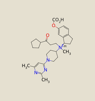 Cc1cc(N2CCC([N+](C)(CCC(=O)C3CCCC3)[C@@H]3CCc4ccc(OC(=O)O)cc43)CC2)nc(C)n1